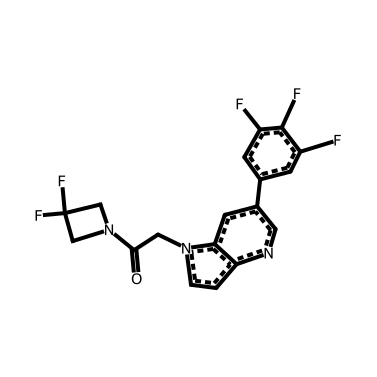 O=C(Cn1ccc2ncc(-c3cc(F)c(F)c(F)c3)cc21)N1CC(F)(F)C1